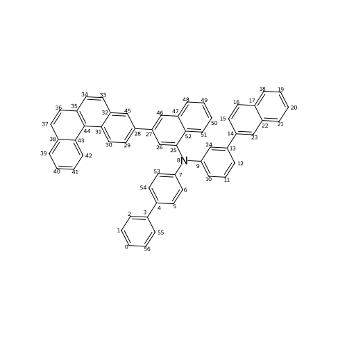 c1ccc(-c2ccc(N(c3cccc(-c4ccc5ccccc5c4)c3)c3cc(-c4ccc5c(ccc6ccc7ccccc7c65)c4)cc4ccccc34)cc2)cc1